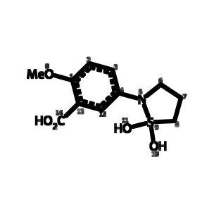 COc1ccc(N2CCCS2(O)O)cc1C(=O)O